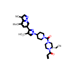 C=CC(=O)N1CCN(C(=O)N2CCC(n3cc(C(=O)O)c(-c4cc(OC)c5c(C#N)cnn5c4)n3)CC2)C[C@@H]1CC#N